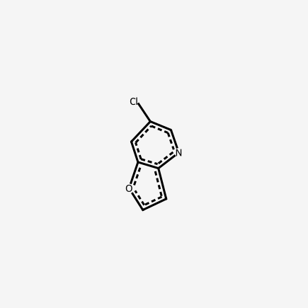 Clc1cnc2ccoc2c1